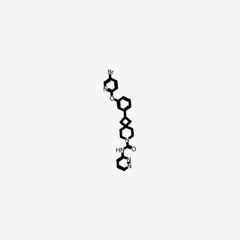 O=C(Nc1cccnn1)N1CCC2(CC1)CC(c1cccc(Oc3ccc(Br)cn3)c1)C2